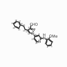 COc1ccccc1Nc1cc(-n2cc(CCc3ccccc3)c(C=O)n2)ccn1